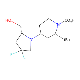 CC(C)(C)C1CC(N2CC(F)(F)C[C@@H]2CO)CCN1C(=O)O